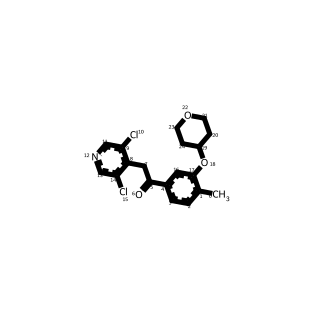 Cc1ccc(C(=O)Cc2c(Cl)cncc2Cl)cc1OC1CCOCC1